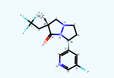 C[C@@]1(CC(F)(F)F)CN2CC[C@H](c3cncc(F)c3)N2C1=O